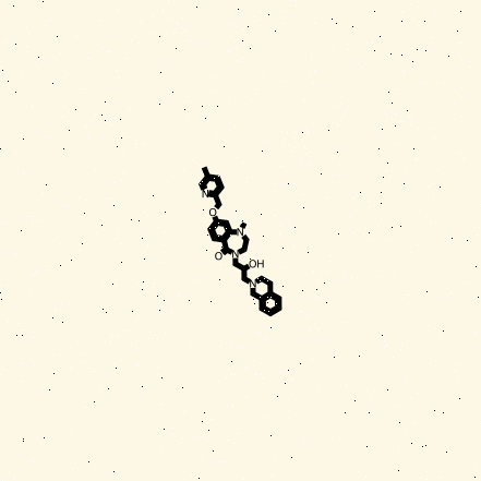 Cc1ccc(COc2ccc3c(c2)N(C)CCN(CC(O)CN2CCc4ccccc4C2)C3=O)nc1